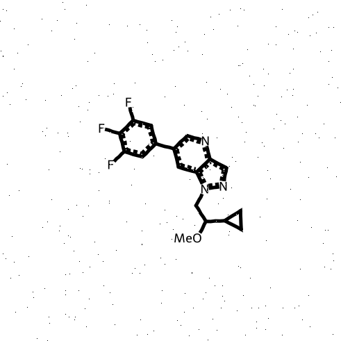 COC(Cn1ncc2ncc(-c3cc(F)c(F)c(F)c3)cc21)C1CC1